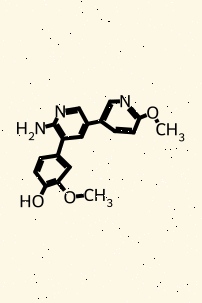 COc1ccc(-c2cnc(N)c(-c3ccc(O)c(OC)c3)c2)cn1